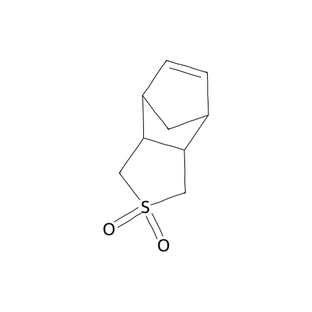 O=S1(=O)CC2C3C=CC(C3)C2C1